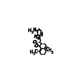 CC1=C2C3OC(=O)C(Cn4cnc5c(N)ccnc54)C3CCC2(C)CCC1